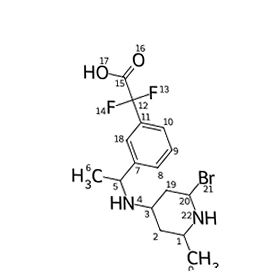 CC1CC(NC(C)c2cccc(C(F)(F)C(=O)O)c2)CC(Br)N1